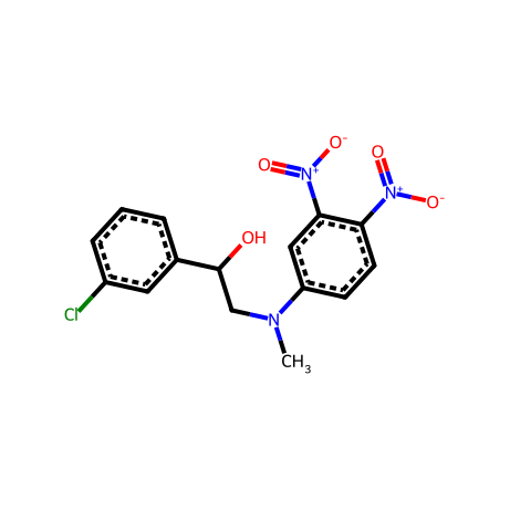 CN(CC(O)c1cccc(Cl)c1)c1ccc([N+](=O)[O-])c([N+](=O)[O-])c1